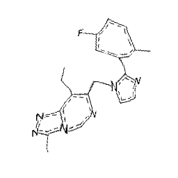 CCc1c(Cn2ccnc2-c2cc(F)ccc2C)ncn2c(C)nnc12